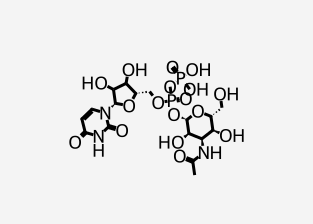 CC(=O)N[C@H]1[C@@H](O)[C@H](OP(=O)(OC[C@@H]2O[C@H](n3ccc(=O)[nH]c3=O)C(O)C2O)OP(=O)(O)O)O[C@H](CO)[C@H]1O